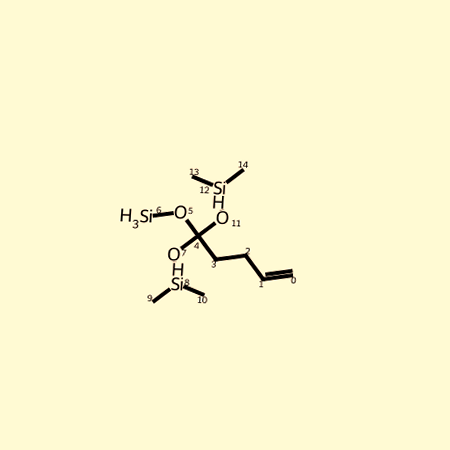 C=CCCC(O[SiH3])(O[SiH](C)C)O[SiH](C)C